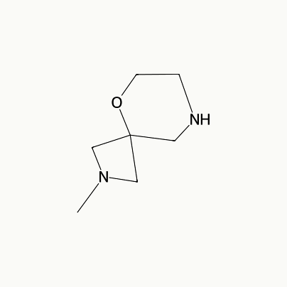 CN1CC2(CNCCO2)C1